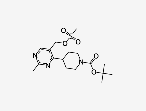 Cc1ncc(COS(C)(=O)=O)c(C2CCN(C(=O)OC(C)(C)C)CC2)n1